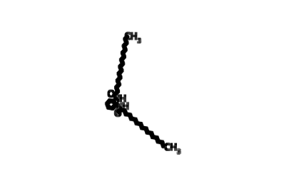 CCCCCCCCCCCCCCCCCC(=O)N[C@@H]1CCCC[C@H]1NC(=O)CCCCCCCCCCCCCCCCC